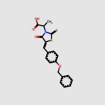 CC(C(=O)O)N1C(=O)C(=Cc2ccc(OCc3ccccc3)cc2)SC1=S